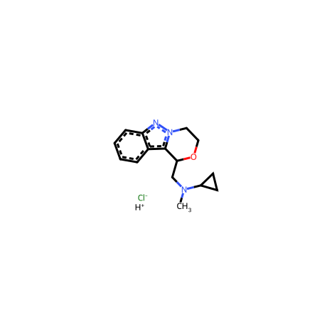 CN(CC1OCCn2nc3ccccc3c21)C1CC1.[Cl-].[H+]